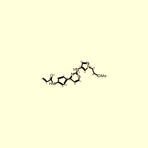 C=CC(=O)Nc1ccc(-c2ccnc(Nc3cnn(CCOC)c3)n2)cc1